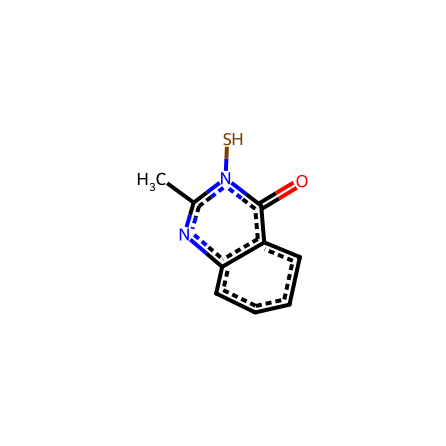 Cc1nc2ccccc2c(=O)n1S